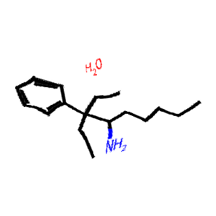 CCCCCC(N)C(CC)(CC)c1ccccc1.O